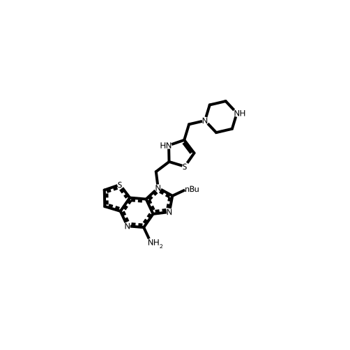 CCCCc1nc2c(N)nc3ccsc3c2n1CC1NC(CN2CCNCC2)=CS1